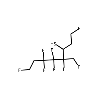 FCCC(S)C(F)(CF)C(F)(F)C(F)(F)CCF